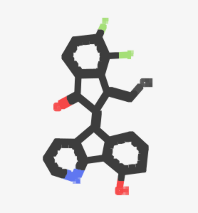 N#C/C=C1/C(=C2/c3cccnc3-c3c(O)cccc32)C(=O)c2ccc(F)c(F)c21